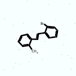 Cc1ccccc1C=Cc1ccccc1Br